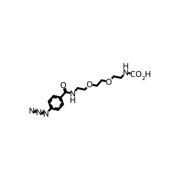 [N-]=[N+]=Nc1ccc(C(=O)NCCOCCOCCNC(=O)O)cc1